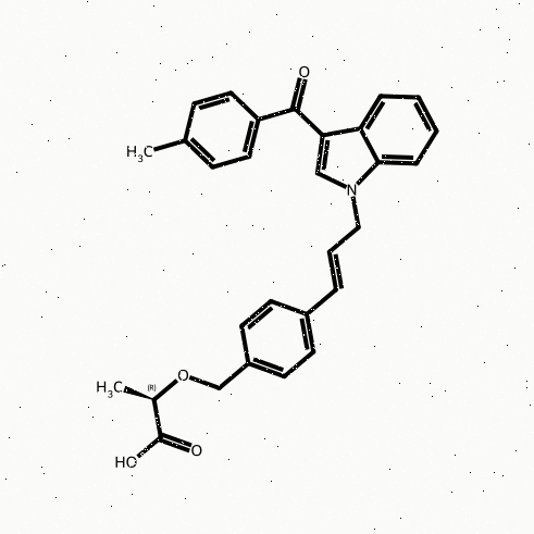 Cc1ccc(C(=O)c2cn(CC=Cc3ccc(CO[C@H](C)C(=O)O)cc3)c3ccccc23)cc1